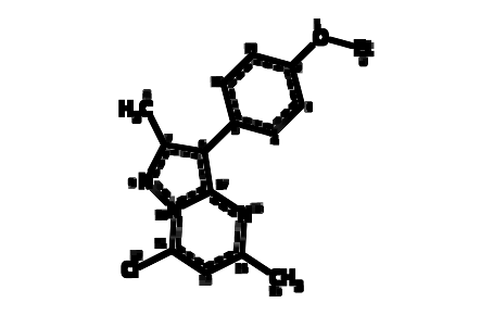 CCOc1ccc(-c2c(C)nn3c(Cl)cc(C)nc23)cc1